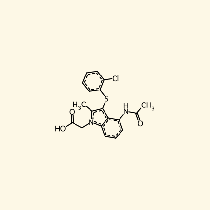 CC(=O)Nc1cccc2c1c(Sc1ccccc1Cl)c(C)n2CC(=O)O